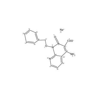 Nc1c(C(=O)[O-])c(=O)n(OCc2ccccc2)c2ncccc12.[Na+]